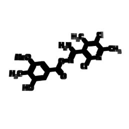 COc1cc(C(=O)O/N=C(\N)c2c(Cl)nc(C)c(Cl)c2C)cc(O)c1C